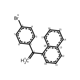 C=C(c1ccc(Br)cc1)c1cccc2ccccc12